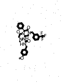 COc1ccc(CNC(=O)N2[C@H]3CN(Cc4cccc(C(F)(F)F)c4)C(=O)[C@H](c4ccccc4)N3C(=O)CN2C)cc1